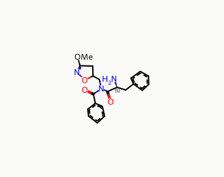 COC1=NOC(CN(C(=O)c2ccccc2)C(=O)[C@@H](N)Cc2ccccc2)C1